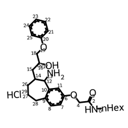 CCCCCCNC(=O)COc1ccc2c(c1)C(N)C(C[C@H](O)COc1ccccc1)CCC2.Cl